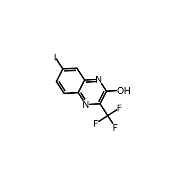 Oc1nc2cc(I)ccc2nc1C(F)(F)F